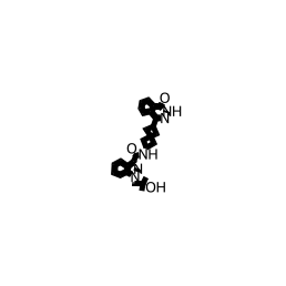 CC(C)(O)Cn1nc(C(=O)NC2CC3(C2)CC(c2n[nH]c(=O)c4ccccc24)C3)c2ccccc21